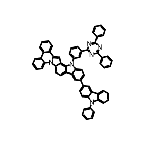 c1ccc(-c2nc(-c3ccccc3)nc(-c3cccc(-n4c5ccc(-c6ccc7c(c6)c6ccccc6n7-c6ccccc6)cc5c5ccc6c(cc7c8ccccc8c8ccccc8n76)c54)c3)n2)cc1